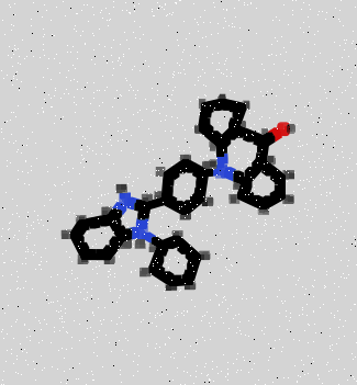 O=c1c2ccccc2n(-c2ccc(-c3nc4ccccc4n3-c3ccccc3)cc2)c2ccccc12